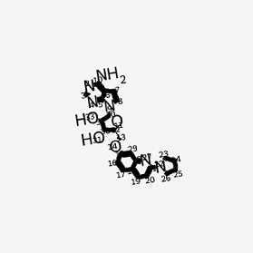 Nc1ncnc2c1ccn2[C@@H]1O[C@H](COc2ccc3ccc(N4CCCC4)nc3c2)[C@@H](O)[C@H]1O